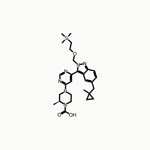 C[C@H]1CN(c2cc(-c3c4cc(CC5(C)CC5)ccc4nn3COCC[Si](C)(C)C)ncn2)CCN1C(=O)O